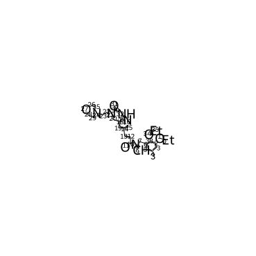 CCOc1cccc(CN(C)C(=O)/C=C/c2cnc3c(c2)CN(CCN2CCOCC2)C(=O)N3)c1OCC